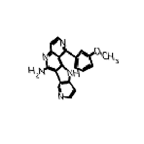 COc1cccc(-c2nccc3nc(N)c4c5cnccc5[nH]c4c23)c1